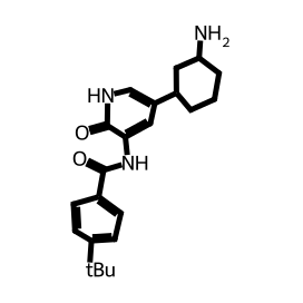 CC(C)(C)c1ccc(C(=O)Nc2cc(C3CCCC(N)C3)c[nH]c2=O)cc1